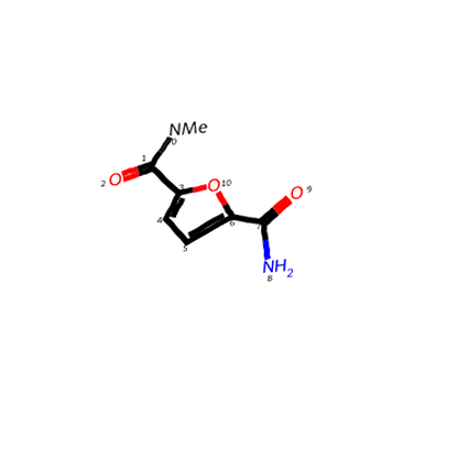 CNC(=O)c1ccc(C(N)=O)o1